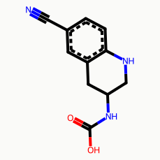 N#Cc1ccc2c(c1)CC(NC(=O)O)CN2